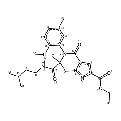 CCOC(=O)c1cc2n(n1)CC(C)(C(=O)NCCC(C)C)N(c1cc(C)ccc1OC)C2=O